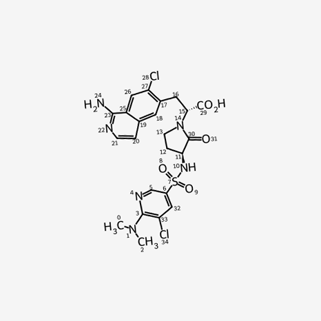 CN(C)c1ncc(S(=O)(=O)N[C@H]2CCN([C@H](Cc3cc4ccnc(N)c4cc3Cl)C(=O)O)C2=O)cc1Cl